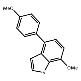 COc1ccc(-c2ccc(OC)c3sccc23)cc1